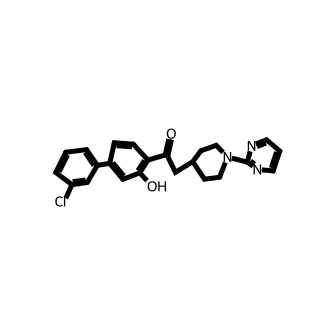 O=C(CC1CCN(c2ncccn2)CC1)c1ccc(-c2cccc(Cl)c2)cc1O